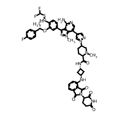 C[C@H](Oc1cc(-c2nn(C)c3c(-c4cnn(C5CCC(C(=O)N[C@H]6C[C@H](Nc7cccc8c7C(=O)N(C7CCC(=O)NC7=O)C8=O)C6)N(C)C5)c4)cnc(N)c23)ccc1NSC(F)F)c1ccc(F)cc1